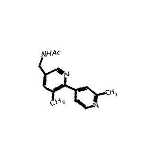 CC(=O)NCc1cnc(-c2ccnc(C)c2)c(C)c1